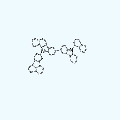 c1ccc2c(-n3c4ccccc4c4cc(-c5ccc6c(c5)c5ccc7ccccc7c5n6-c5ccc6c(c5)-c5cccc7cccc-6c57)ccc43)cccc2c1